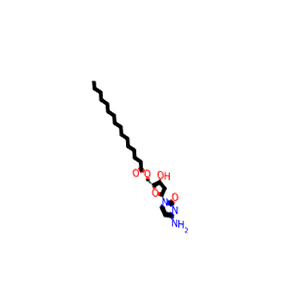 CCCCCCCCCCCCCCCC(=O)OC[C@H]1O[C@@H](n2ccc(N)nc2=O)C[C@@H]1O